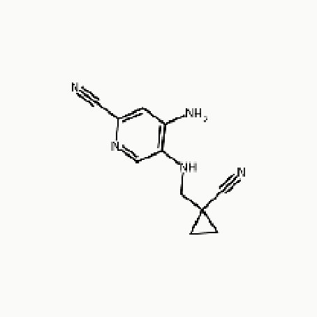 N#Cc1cc(N)c(NCC2(C#N)CC2)cn1